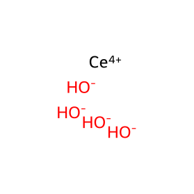 [Ce+4].[OH-].[OH-].[OH-].[OH-]